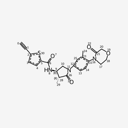 C#Cc1ccc(C(=O)N[C@H]2CN(c3ccc(N4CCOCC4=O)c(C)c3)C(=O)[C@@H]2C)s1